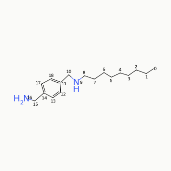 CCCCCCCCCNCc1ccc(CN)cc1